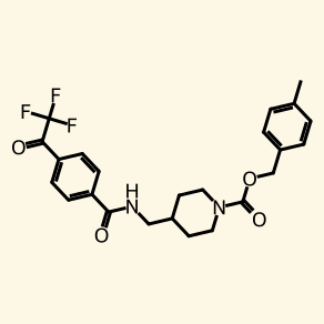 Cc1ccc(COC(=O)N2CCC(CNC(=O)c3ccc(C(=O)C(F)(F)F)cc3)CC2)cc1